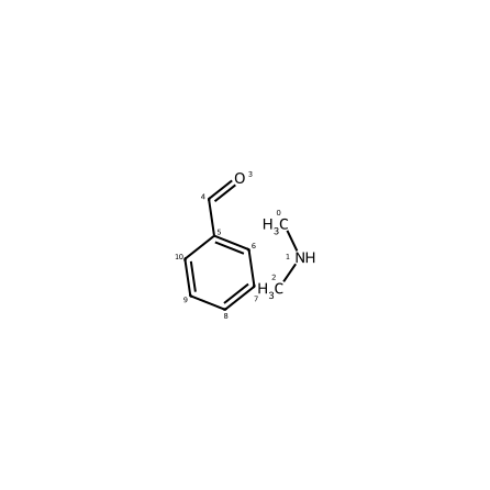 CNC.O=Cc1ccccc1